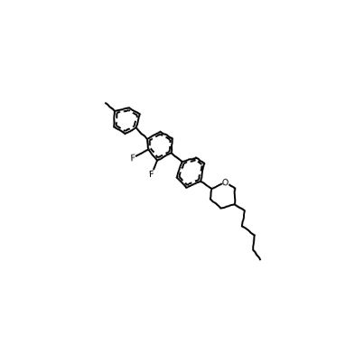 CCCCCC1CCC(c2ccc(-c3ccc(-c4ccc(C)cc4)c(F)c3F)cc2)OC1